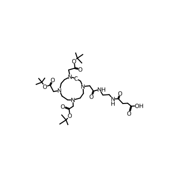 CC(C)(C)OC(=O)CN1CCN(CC(=O)NCCNC(=O)CCC(=O)O)CCN(CC(=O)OC(C)(C)C)CCN(CC(=O)OC(C)(C)C)CC1